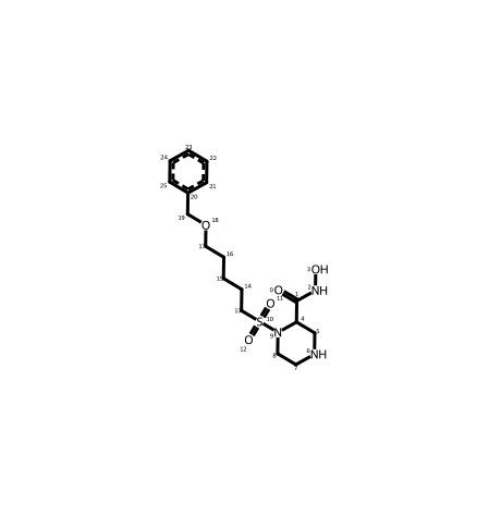 O=C(NO)C1CNCCN1S(=O)(=O)CCCCCOCc1ccccc1